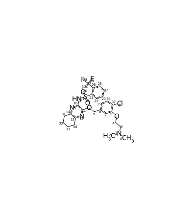 CN(C)CCOc1cc(COc2nc3c(nc2NS(=O)(=O)c2ccccc2C(F)(F)F)CCCC3)ccc1Cl